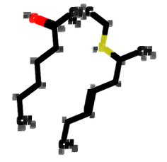 CCC=CCC(C)SCC.CCCCCC(C)=O